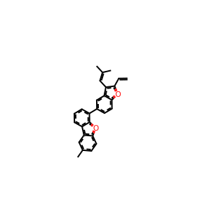 C=Cc1oc2ccc(-c3cccc4c3oc3ccc(C)cc34)cc2c1C=C(C)C